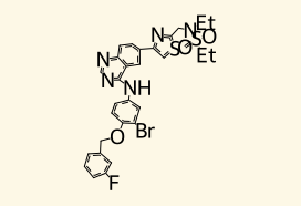 CCN(Cc1nc(-c2ccc3ncnc(Nc4ccc(OCc5cccc(F)c5)c(Br)c4)c3c2)cs1)S(=O)(=O)CC